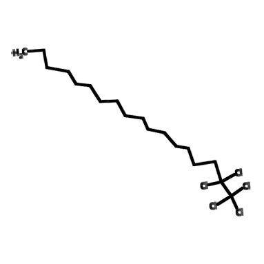 [CH2]CCCCCCCCCCCCCCCC(Cl)(Cl)C(Cl)(Cl)Cl